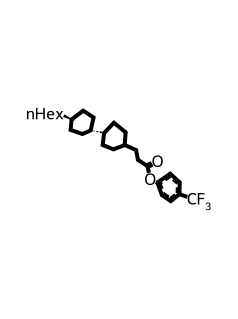 CCCCCC[C@H]1CC[C@H](C2CCC(CCC(=O)Oc3ccc(C(F)(F)F)cc3)CC2)CC1